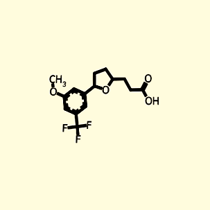 COc1cc(C2CCC(CCC(=O)O)O2)cc(C(F)(F)F)c1